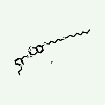 CCCCCCCCCCCCCCOc1ccc(CC(=O)NCc2ccc[n+](CCC)c2)c(Cl)c1.[I-]